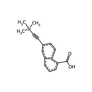 C[Si](C)(C)C#Cc1ccc2c(C(=O)O)cccc2c1